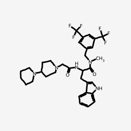 CN(Cc1cc(C(F)(F)F)cc(C(F)(F)F)c1)C(=O)C(Cc1c[nH]c2ccccc12)NC(=O)CN1CCC(N2CCCCC2)CC1